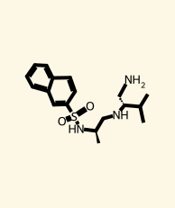 CC(C)[C@@H](CN)NC[C@@H](C)NS(=O)(=O)c1ccc2ccccc2c1